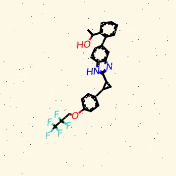 CC(O)c1ccccc1-c1ccc2[nH]c(C3CC3c3ccc(OCC(F)(F)C(F)(F)F)cc3)nc2c1